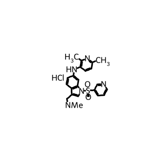 CNCc1cn(S(=O)(=O)c2cccnc2)c2cc(Nc3ccc(C)nc3C)ccc12.Cl